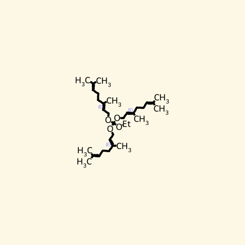 CCOC(OC/C=C(\C)CCC=C(C)C)(OC/C=C(\C)CCC=C(C)C)OC/C=C(\C)CCC=C(C)C